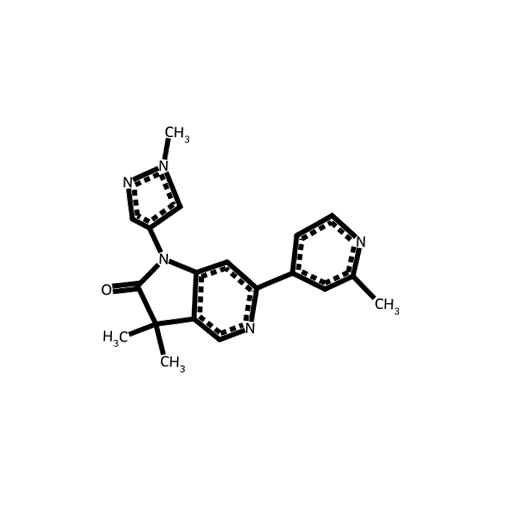 Cc1cc(-c2cc3c(cn2)C(C)(C)C(=O)N3c2cnn(C)c2)ccn1